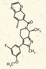 COc1cc(F)cc(-c2c3c(nn2C)[C@H](C)N(C(=O)c2cc4nccnc4cc2F)CC3)c1